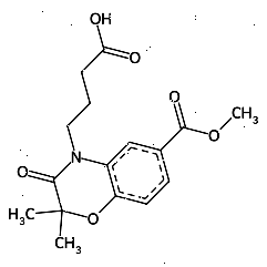 COC(=O)c1ccc2c(c1)N(CCCC(=O)O)C(=O)C(C)(C)O2